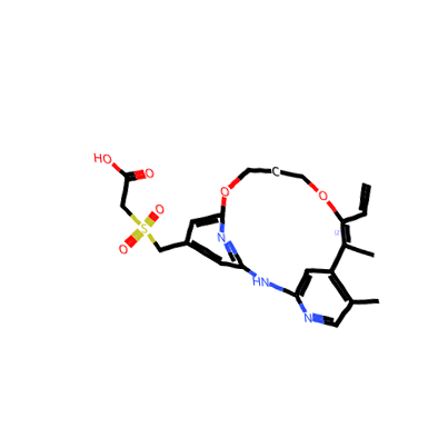 C=C/C1=C(\C)c2cc(ncc2C)Nc2cc(CS(=O)(=O)CC(=O)O)cc(n2)OCCCO1